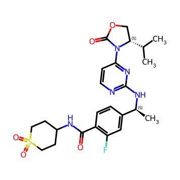 CC(C)[C@H]1COC(=O)N1c1ccnc(N[C@@H](C)c2ccc(C(=O)NC3CCS(=O)(=O)CC3)c(F)c2)n1